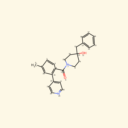 Cc1ccc(C(=O)N2CCC(O)(Cc3ccccc3)CC2)c(-c2ccncc2)c1